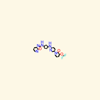 O=c1c(OC(F)F)cccn1-c1ccc(N[C@H]2CC[C@H](Nc3nc4cccnc4o3)C2)nc1